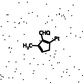 CC1=CC[C]([Pt])=C1C=O